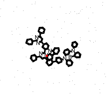 c1ccc(-c2cc(-c3ccc(-n4c5ccccc5c5ccccc54)c(-c4nc(-c5ccccc5)cc(-c5cccc(-c6ccc(N7c8ccccc8B8c9ccccc9N(c9ccccc9)c9cccc7c98)cc6)c5)n4)c3)nc(-c3ccccc3)n2)cc1